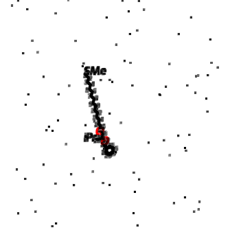 CSCCCCCCCCCCCCCCCCOCC(CC(C)C)OCc1ccccc1